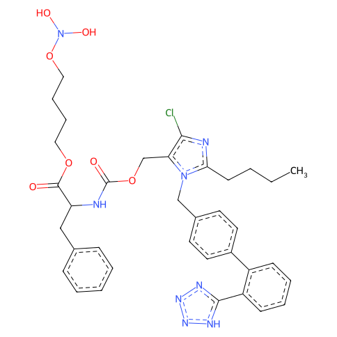 CCCCc1nc(Cl)c(COC(=O)NC(Cc2ccccc2)C(=O)OCCCCON(O)O)n1Cc1ccc(-c2ccccc2-c2nnn[nH]2)cc1